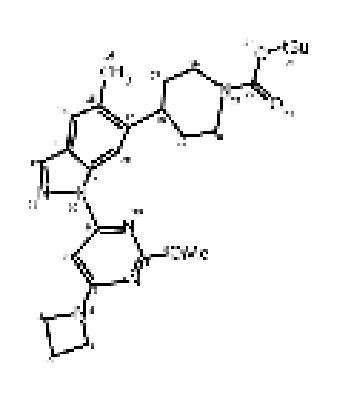 COc1nc(N2CCC2)cc(-n2ncc3cc(C)c(C4CCN(C(=O)OC(C)(C)C)CC4)cc32)n1